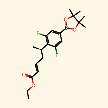 CCOC(=O)/C=C/C[C@@H](C)c1c(F)cc(B2OC(C)(C)C(C)(C)O2)cc1F